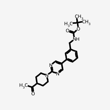 CC(=O)C1CCN(c2ncc(-c3cccc(CNC(=O)OC(C)(C)C)c3)cn2)CC1